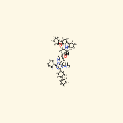 CC1(C2C=CC3=C(C2)O[C@@H]2CC(n4c5ccccc5c5ccc6c7ccccc7oc6c54)C=CC32)NC(C2=CCCC=C2)NC(c2ccc(-c3ccccc3)cc2)N1